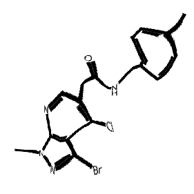 Cc1ccc(NC(=O)c2cnc3c(c(Br)nn3C)c2Cl)cc1